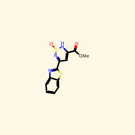 COC(=O)C1=CC(c2nc3ccccc3s2)=N[S+]([O-])N1